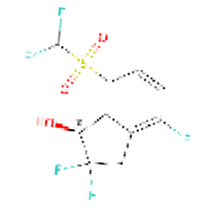 O=S(=O)(c1ccc(F)c2c1[C@H](O)C(F)(F)C2)C(F)F